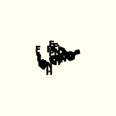 C#Cc1ccc2[nH]c3c(c2c1)C[C@@H](C)N(CC(F)(F)F)[C@@H]3c1c(F)cc(N[C@H]2CCN(CCCF)C2)c[n+]1F